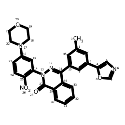 Cc1cc(-c2cnco2)cc(-c2nn(-c3cc(N4CCOCC4)ccc3[N+](=O)[O-])c(=O)c3ccccc23)c1